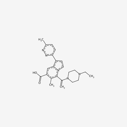 C=C(c1c(C)c(C(=O)O)cc2c(-c3ccc(C)nn3)ccn12)N1CCN(CC)CC1